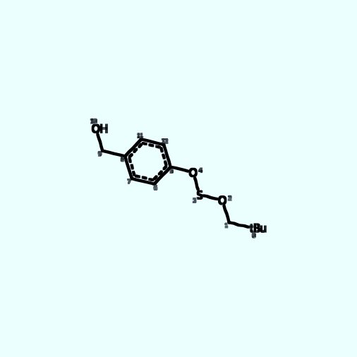 CC(C)(C)COSOc1ccc(CO)cc1